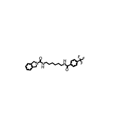 O=C(NCCCCCCNC(=O)N1Cc2ccccc2C1)c1ccc(C(F)(F)F)cc1